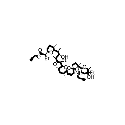 C#CCN[C@@H]1C=C[C@]2(O[C@H]([C@@H](CC)C(=O)[C@@H](C)[C@@H](O)[C@H](C)C3O[C@@H](C(CC)C(=O)OCC#C)CC[C@@H]3C)[C@@H](C)C[C@H]2C)O[C@@]12CC[C@@](C)([C@H]1CC[C@](O)(CC)[C@H](C)O1)O2